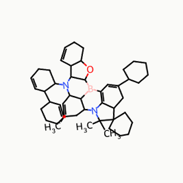 CC1=CC2C3B(C4=C5C(CC(C6CCCCC6)=C4)C4(CCCCC4)C(C)(C)N5C3C1)C1OC3CCC=CC3C1N2C1CCC=CC1C1C=CCCC1